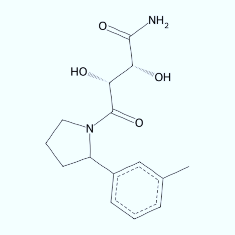 Cc1cccc(C2CCCN2C(=O)[C@H](O)[C@@H](O)C(N)=O)c1